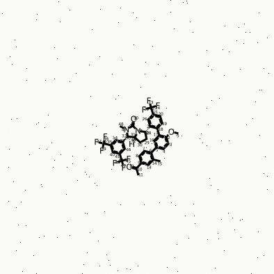 COc1ccc(-c2ccc(C(C)=O)cc2C)cc1-c1ccc(C(F)(F)F)cc1[C@@H]1CC[C@H]2[C@@H](c3cc(C(F)(F)F)cc(C(F)(F)F)c3)N(C)C(=O)N12